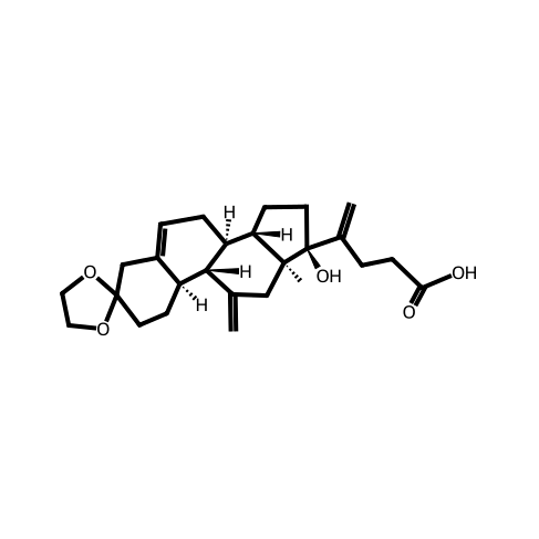 C=C1C[C@@]2(C)[C@@H](CC[C@]2(O)C(=C)CCC(=O)O)[C@@H]2CC=C3CC4(CC[C@@H]3[C@@H]12)OCCO4